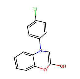 OC1=CN(c2ccc(Cl)cc2)c2ccccc2O1